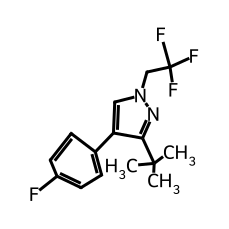 CC(C)(C)c1nn(CC(F)(F)F)cc1-c1ccc(F)cc1